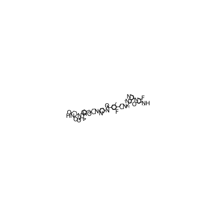 CNc1cc(=O)n(-c2ccnc3c2cc([C@H](C)N2CC=C(c4c(C)cc(C(=O)N(C)c5ccc(N6CCC(O)(Cc7ccc8c(c7)C7(CC7)C(=O)N8C7CCC(=O)NC7=O)CC6)nc5)cc4F)CC2)n3C)cc1F